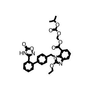 CCOc1nc2cccc(C(=O)OCOC(=O)OC(C)C)c2n1Cc1ccc(-c2ccccc2-c2noc(=O)[nH]2)cc1